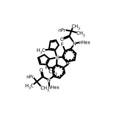 CCCCCCN(C(=O)C(C)(C)CCC)c1ccc(F)[c]([Ti]([C]2=C(C)C=CC2)([C]2=C(C)C=CC2)[c]2c(F)ccc(N(CCCCCC)C(=O)C(C)(C)CCC)c2F)c1F